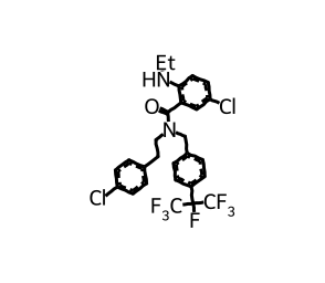 CCNc1ccc(Cl)cc1C(=O)N(CCc1ccc(Cl)cc1)Cc1ccc(C(F)(C(F)(F)F)C(F)(F)F)cc1